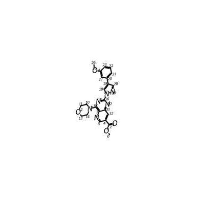 COC(=O)c1cnc2c(N3CCOCC3)nc(-n3cc(-c4cccc(OC)c4)cn3)nc2c1